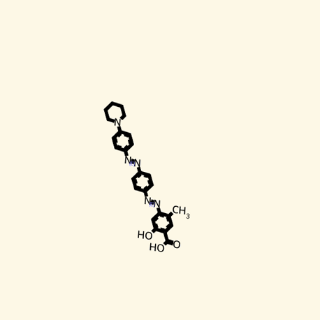 Cc1cc(C(=O)O)c(O)cc1/N=N/c1ccc(/N=N/c2ccc(N3CCCCC3)cc2)cc1